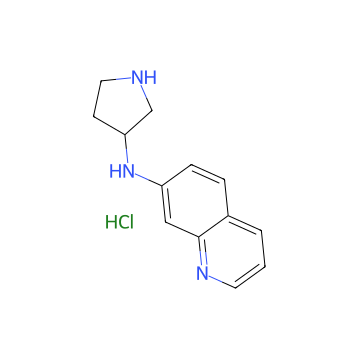 Cl.c1cnc2cc(NC3CCNC3)ccc2c1